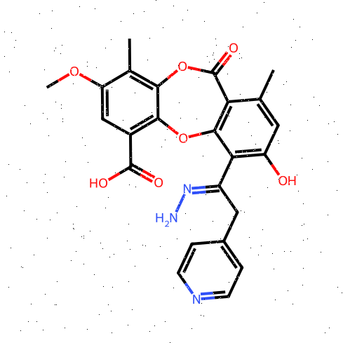 COc1cc(C(=O)O)c2c(c1C)OC(=O)c1c(C)cc(O)c(C(Cc3ccncc3)=NN)c1O2